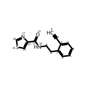 C#Cc1ccccc1CCNC(=O)c1cscn1